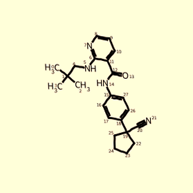 CC(C)(C)CNc1ncccc1C(=O)Nc1ccc(C2(C#N)CCCC2)cc1